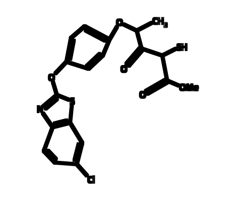 COC(=O)C(S)C(=O)C(C)Oc1ccc(Oc2nc3ccc(Cl)cc3s2)cc1